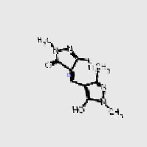 CC1=NN(C)C(=O)/C1=C/c1c(C)nn(C)c1O